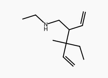 C=CC(CNCC)C(C)(C=C)CC